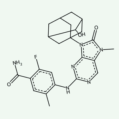 Cc1cc(C(N)=O)c(F)cc1Nc1ncc2c(n1)n(C13CC4CC(C1)C(O)C(C4)C3)c(=O)n2C